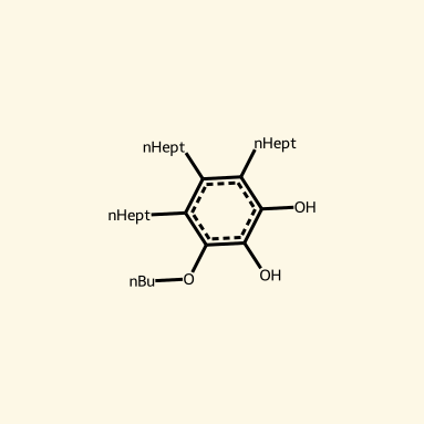 CCCCCCCc1c(O)c(O)c(OCCCC)c(CCCCCCC)c1CCCCCCC